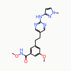 CONC(=O)c1cc(CCc2cnc(Nc3ccn(C)n3)nc2)cc(OC)c1